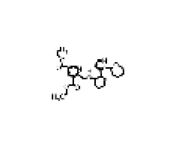 CCOC(=O)c1cnc(CNC2CCCCC2c2ccnn2C2CCCCO2)c(C(=O)OCC)c1